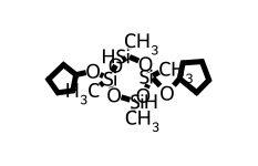 C[SiH]1O[Si](C)(OC2CCCC2)O[SiH](C)O[Si](C)(OC2CCCC2)O1